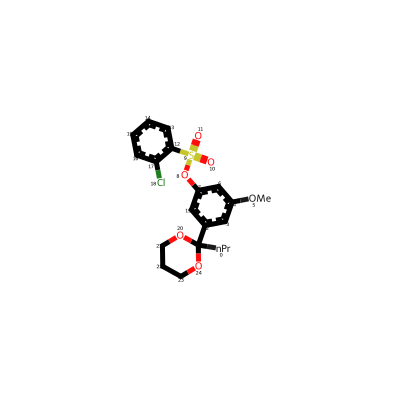 CCCC1(c2cc(OC)cc(OS(=O)(=O)c3ccccc3Cl)c2)OCCCO1